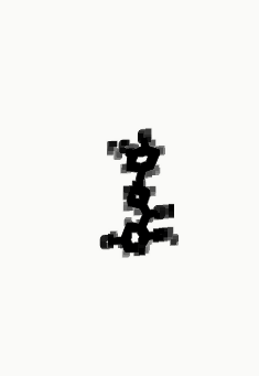 Nc1ncc(Cl)cc1C(O)c1cnn(-c2ccc(Cl)c(C(F)(F)F)c2)c1